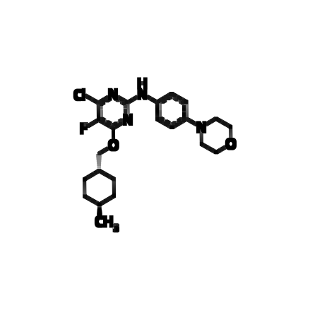 C[C@H]1CC[C@H](COc2nc(Nc3ccc(N4CCOCC4)cc3)nc(Cl)c2F)CC1